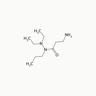 CCCN(C(=O)CCN)N(CC)CC